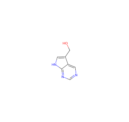 OCc1c[nH]c2ncncc12